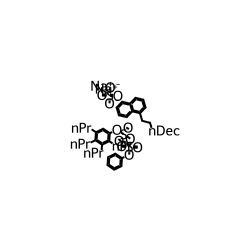 CCCCCCCCCCCCc1cccc2ccccc12.CCCc1cc(OS(=O)(=O)OS(=O)(=O)Oc2ccccc2)c(CCC)c(CCC)c1CCC.O=S(=O)([O-])[O-].[Na+].[Na+]